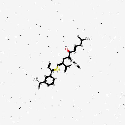 C=C=C=C(C/C(=C/[SH]=C(\C=C)c1cccc([C@H](C)C(C)=O)c1)C(=C)C)C(=O)/C=C/CC(C)CCCC